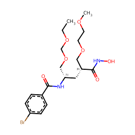 CCOCOC[C@H](C[C@H](COCCOC)C(=O)NO)NC(=O)c1ccc(Br)cc1